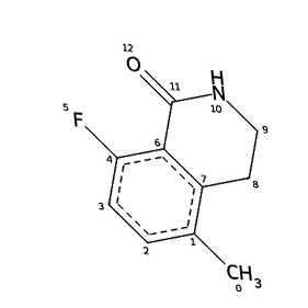 Cc1ccc(F)c2c1CCNC2=O